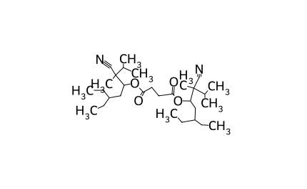 CCC(CC)CC(OC(=O)CCC(=O)OC(CC(CC)CC)C(C)(C#N)C(C)C)C(C)(C#N)C(C)C